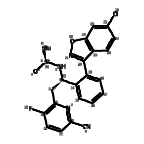 CC(C)(C)[S@+]([O-])N[C@@H](Cc1nc(C#N)ccc1F)c1ccccc1-c1noc2cc(Cl)ccc12